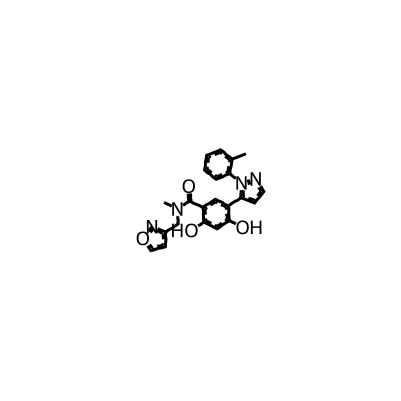 Cc1ccccc1-n1nccc1-c1cc(C(=O)N(C)Cc2ccon2)c(O)cc1O